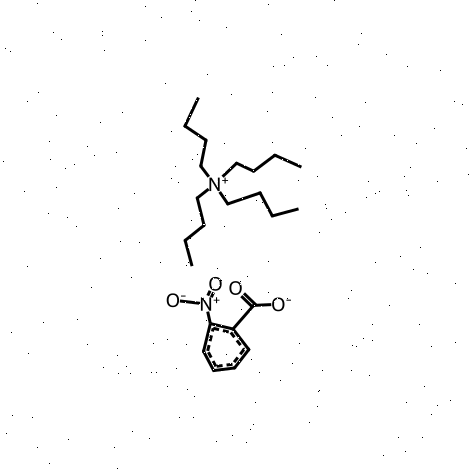 CCCC[N+](CCCC)(CCCC)CCCC.O=C([O-])c1ccccc1[N+](=O)[O-]